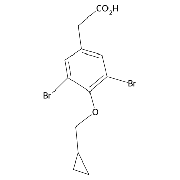 O=C(O)Cc1cc(Br)c(OCC2CC2)c(Br)c1